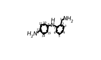 NCc1ccccc1Nc1ccc(N)cc1